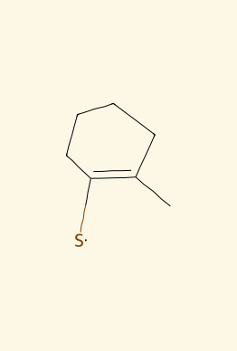 CC1=C([S])CCCC1